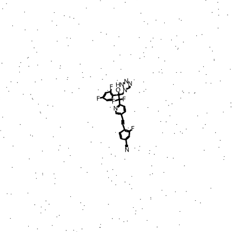 N#Cc1ccc(C#Cc2ccc(C(F)(F)C(O)(Cn3cnnn3)c3ccc(F)cc3F)nc2)c(F)c1